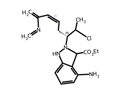 C=NC(=C)/C=C\C[C@H](C(C)Cl)N1Nc2cccc(N)c2C1C(=O)OCC